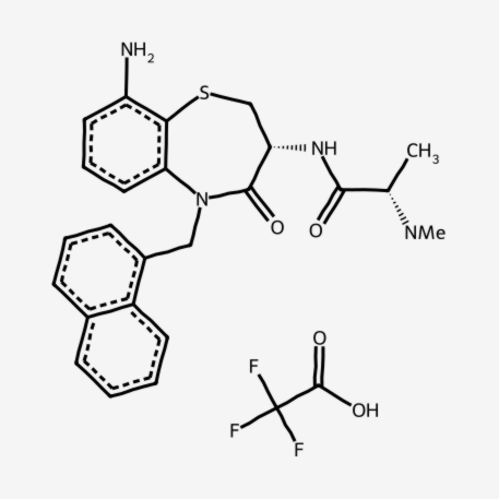 CN[C@@H](C)C(=O)N[C@H]1CSc2c(N)cccc2N(Cc2cccc3ccccc23)C1=O.O=C(O)C(F)(F)F